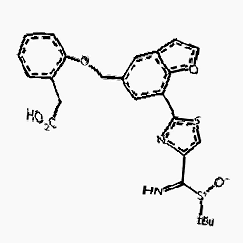 CC(C)(C)[S+]([O-])C(=N)c1csc(-c2cc(COc3ccccc3CC(=O)O)cc3ccoc23)n1